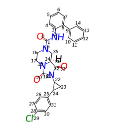 O=C(Nc1ccccc1-c1ccccc1)N1CCN2C(=O)N(C3CC3c3ccc(Cl)cc3)C(=O)[C@@H]2C1